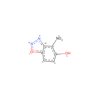 O=[N+]([O-])c1c(O)ccc2onnc12